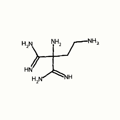 N=C(N)C(N)(CCN)C(=N)N